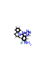 CC1CCc2ccccc2N1c1nc2nncn2c2cc(N)c(F)cc12